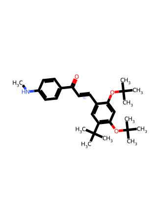 CNc1ccc(C(=O)/C=C/c2cc(C(C)(C)C)c(OC(C)(C)C)cc2OC(C)(C)C)cc1